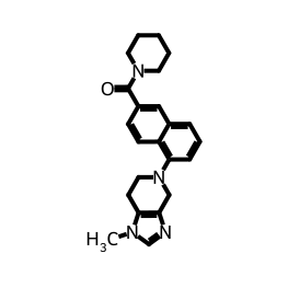 Cn1cnc2c1CCN(c1cccc3cc(C(=O)N4CCCCC4)ccc13)C2